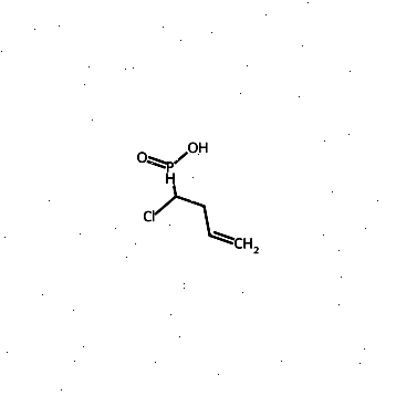 C=CCC(Cl)[PH](=O)O